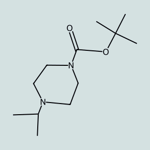 CC(C)N1CCN(C(=O)OC(C)(C)C)CC1